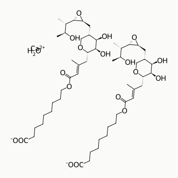 C/C(=C\C(=O)OCCCCCCCCC(=O)[O-])C[C@@H]1OC[C@H](C[C@@H]2O[C@H]2[C@@H](C)[C@H](C)O)[C@@H](O)[C@H]1O.C/C(=C\C(=O)OCCCCCCCCC(=O)[O-])C[C@@H]1OC[C@H](C[C@@H]2O[C@H]2[C@@H](C)[C@H](C)O)[C@@H](O)[C@H]1O.O.[Ca+2]